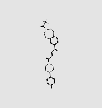 O=C(C=CC(=O)N1CCC(c2ccc(Cl)cc2)CC1)c1ccc2c(c1)CCN(C(=O)C(F)(F)F)CC2